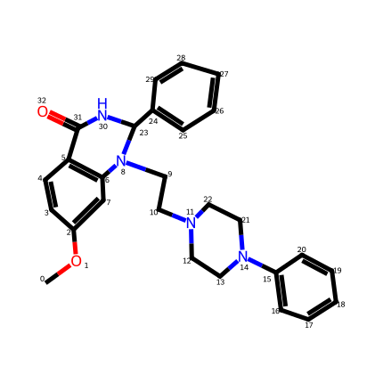 COc1ccc2c(c1)N(CCN1CCN(c3ccccc3)CC1)C(c1ccccc1)NC2=O